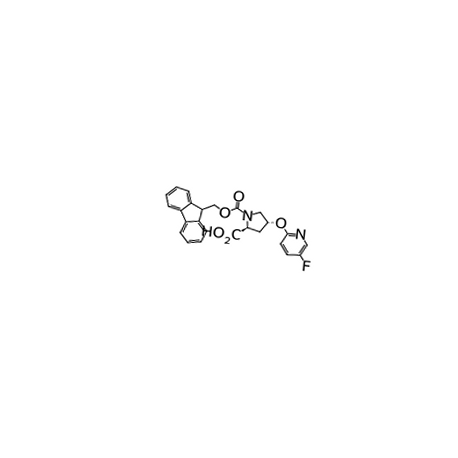 O=C(O)[C@@H]1C[C@@H](Oc2ccc(F)cn2)CN1C(=O)OCC1c2ccccc2-c2ccccc21